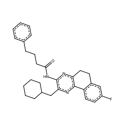 O=C(CCCc1ccccc1)Nc1nc2c(nc1CC1CCCCC1)-c1ccc(F)cc1CC2